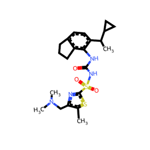 Cc1sc(S(=O)(=O)NC(=O)Nc2c(C(C)C3CC3)ccc3c2CCC3)nc1CN(C)C